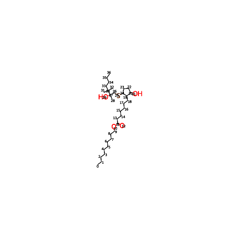 CCCCCCCCCCOC(=O)CCCCCCC1C(O)CCC1SCC(C)(O)C(C)(C)CCCC